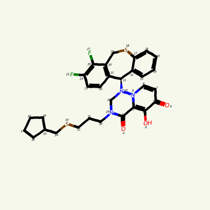 O=C1c2c(O)c(=O)ccn2N([C@@H]2c3ccccc3SCc3c2ccc(F)c3F)CN1CCCSCC1CCCC1